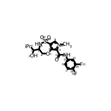 CC(C)C(O)C1COc2c(cn(C)c2C(=O)Nc2ccc(F)c(F)c2)S(=O)(=O)N1